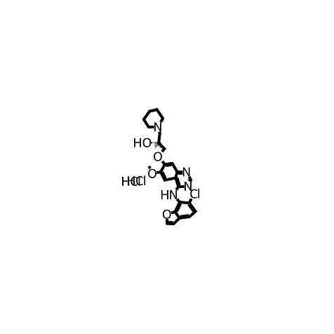 COc1cc2c(Nc3c(Cl)ccc4ccoc34)ncnc2cc1OC[C@H](O)CN1CCCCC1.Cl.Cl